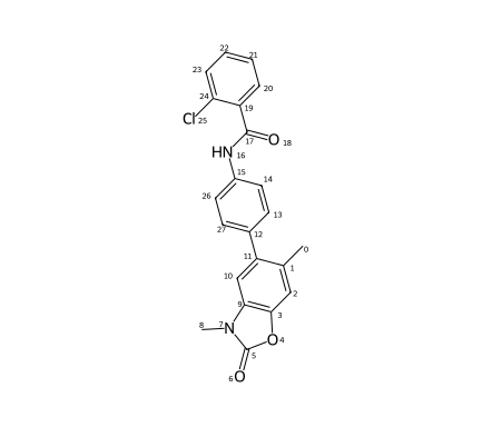 Cc1cc2oc(=O)n(C)c2cc1-c1ccc(NC(=O)c2ccccc2Cl)cc1